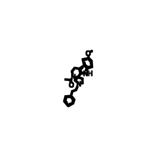 COc1ccc2[nH]c3c(c2c1)CCN(C(C)=O)C31CCN(CCc2ccccc2)C1